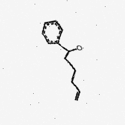 C=CCCCC([O])c1ccccc1